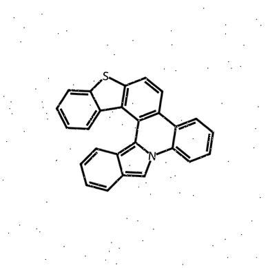 c1ccc2c(c1)cn1c3ccccc3c3ccc4sc5ccccc5c4c3c21